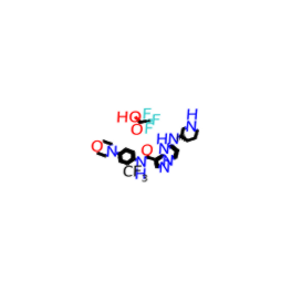 O=C(Nc1ccc(N2CCOCC2)cc1C(F)(F)F)c1cnn2ccc(N[C@@H]3CCCNC3)nc12.O=C(O)C(F)(F)F